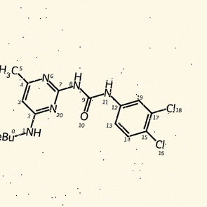 [CH2]CCCNc1cc(C)nc(NC(=O)Nc2ccc(Cl)c(Cl)c2)n1